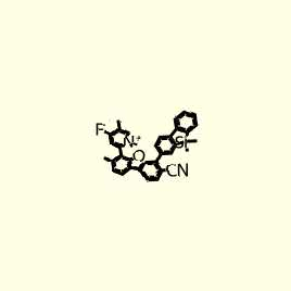 Cc1c[n+](C)c(-c2c(C)ccc3c2oc2c(-c4ccc5c(c4)[Si](C)(C)c4ccccc4-5)c(C#N)ccc23)cc1F